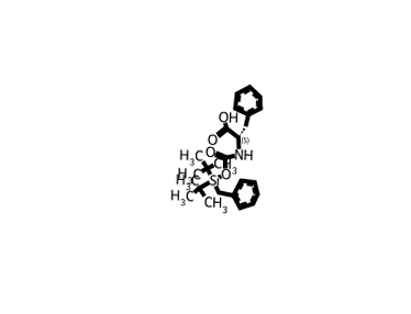 CC(C)(C)[Si](Cc1ccccc1)(OC(=O)N[C@@H](Cc1ccccc1)C(=O)O)C(C)(C)C